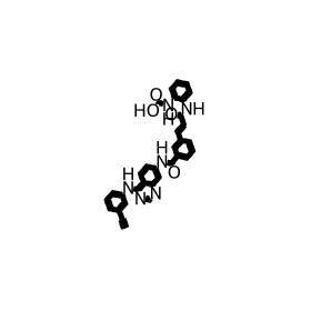 C#Cc1cccc(Nc2ncnc3cc(NC(=O)c4cccc(C=CC(=O)Nc5ccccc5NC(=O)O)c4)ccc23)c1